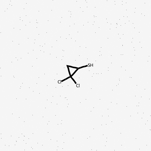 SC1CC1(Cl)Cl